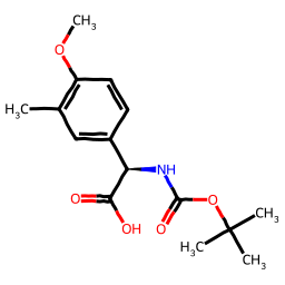 COc1ccc([C@@H](NC(=O)OC(C)(C)C)C(=O)O)cc1C